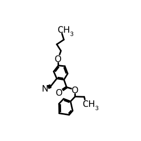 CCCCOc1ccc(C(=O)OC(CC)c2ccccc2)c(C#N)c1